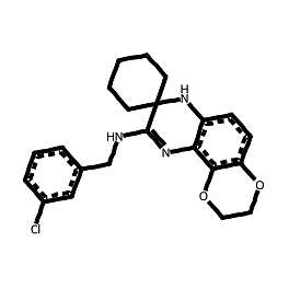 Clc1cccc(CNC2=Nc3c(ccc4c3OCCO4)NC23CCCCC3)c1